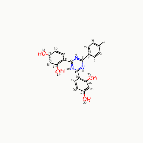 Cc1ccc(-c2nc(-c3ccc(O)cc3O)nc(-c3ccc(O)cc3O)n2)cc1